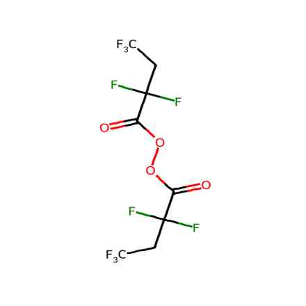 O=C(OOC(=O)C(F)(F)CC(F)(F)F)C(F)(F)CC(F)(F)F